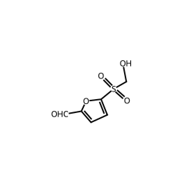 O=Cc1ccc(S(=O)(=O)CO)o1